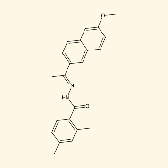 COc1ccc2cc(C(C)=NNC(=O)c3ccc(C)cc3C)ccc2c1